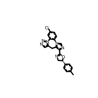 Cc1ccc([C@H]2CN=C(c3ncn4c3Cc3cnnn3-c3cc(Cl)ccc3-4)O2)cc1